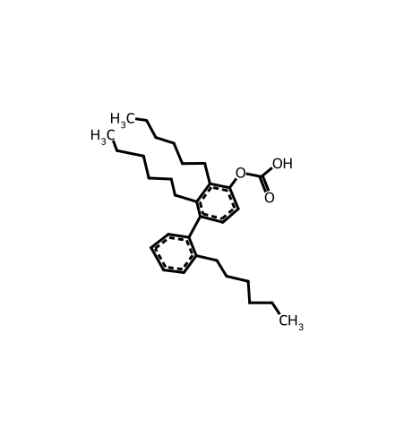 CCCCCCc1ccccc1-c1ccc(OC(=O)O)c(CCCCCC)c1CCCCCC